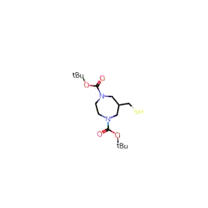 CC(C)(C)OC(=O)N1CCN(C(=O)OC(C)(C)C)CC(CS)C1